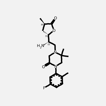 Cc1ccc(F)cc1N1CC(C)(C)N(C[C@H](N)[C@@H]2C[C@@H](C)C(=O)O2)CC1=O